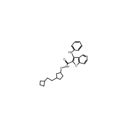 O=C(NOC1CCC(CCC2CCC2)C1)c1oc2ccncc2c1Nc1ccccc1